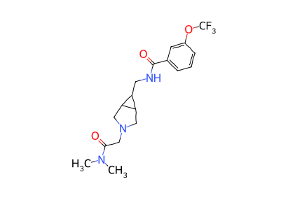 CN(C)C(=O)CN1CC2C(CNC(=O)c3cccc(OC(F)(F)F)c3)C2C1